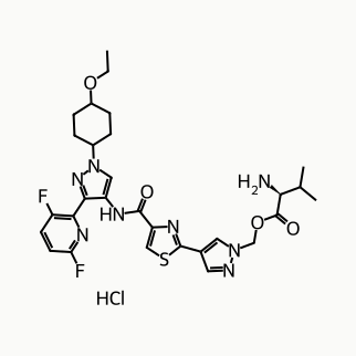 CCOC1CCC(n2cc(NC(=O)c3csc(-c4cnn(COC(=O)[C@@H](N)C(C)C)c4)n3)c(-c3nc(F)ccc3F)n2)CC1.Cl